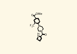 COC(=O)c1ccc(N2CCN(C(=O)c3ccc[nH]3)CC2)c(C(F)(F)F)c1